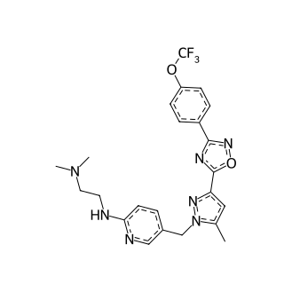 Cc1cc(-c2nc(-c3ccc(OC(F)(F)F)cc3)no2)nn1Cc1ccc(NCCN(C)C)nc1